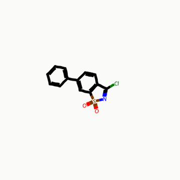 O=S1(=O)N=C(Cl)c2ccc(-c3ccccc3)cc21